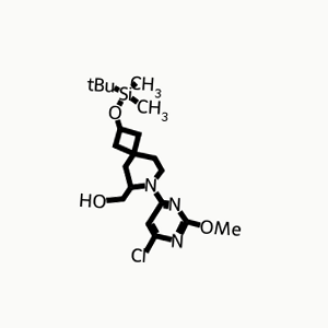 COc1nc(Cl)cc(N2CCC3(CC(O[Si](C)(C)C(C)(C)C)C3)CC2CO)n1